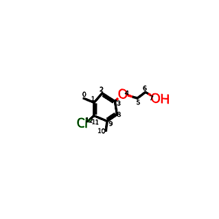 Cc1cc(OCCO)cc(C)c1Cl